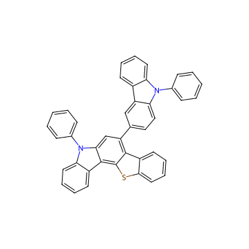 c1ccc(-n2c3ccccc3c3cc(-c4cc5c(c6ccccc6n5-c5ccccc5)c5sc6ccccc6c45)ccc32)cc1